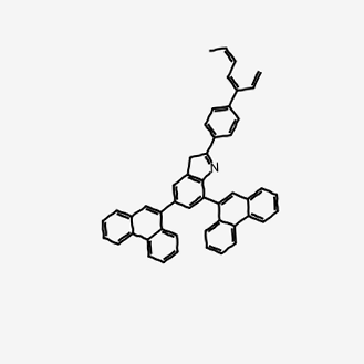 C=C/C(=C\C=C/C)c1ccc(C2=Nc3c(cc(-c4cc5ccccc5c5ccccc45)cc3-c3cc4ccccc4c4ccccc34)C2)cc1